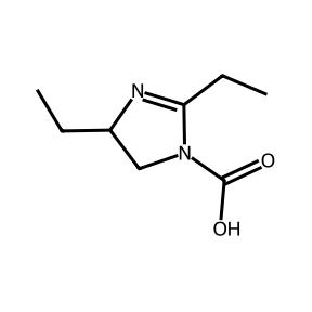 CCC1=NC(CC)CN1C(=O)O